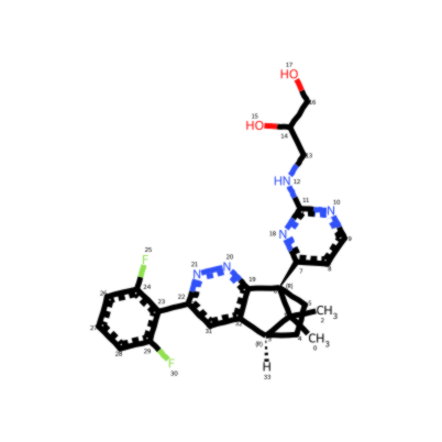 CC1(C)[C@H]2CC[C@@]1(c1ccnc(NCC(O)CO)n1)c1nnc(-c3c(F)cccc3F)cc12